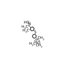 C/C(=N\O)c1ccc(Sc2cccc(C3(C)COC(C)(C)O3)c2)cc1C